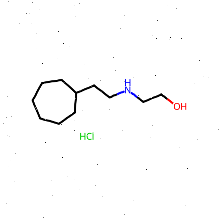 Cl.OCCNCCC1CCCCCC1